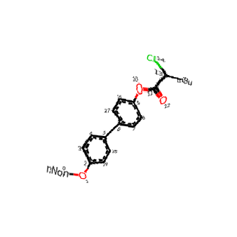 CCCCCCCCCOc1ccc(-c2ccc(OC(=O)C(Cl)C(C)CC)cc2)cc1